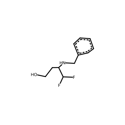 OCCC(NCc1ccccc1)C(F)F